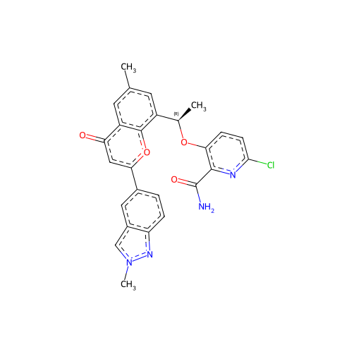 Cc1cc([C@@H](C)Oc2ccc(Cl)nc2C(N)=O)c2oc(-c3ccc4nn(C)cc4c3)cc(=O)c2c1